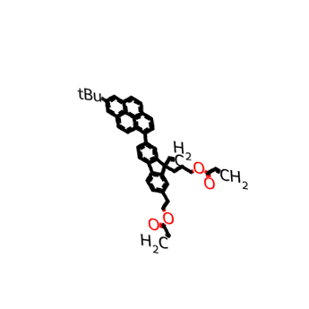 C=CC(=O)OCCCC1(C=C)c2cc(CCOC(=O)C=C)ccc2-c2ccc(-c3ccc4ccc5cc(C(C)(C)C)cc6ccc3c4c56)cc21